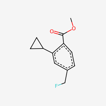 COC(=O)c1ccc(CF)cc1C1CC1